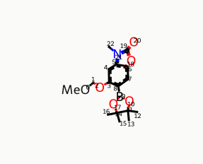 COCOc1cc2c(cc1B1OC(C)(C)C(C)(C)O1)oc(=O)n2C